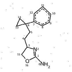 NC1=NC(CCC2(c3ccccc3)CC2)CO1